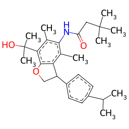 Cc1c(NC(=O)CC(C)(C)C)c(C)c(C(C)(C)O)c2c1C(c1ccc(C(C)C)cc1)CO2